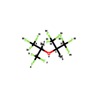 [2H]C(OC([2H])(C(F)(F)F)C(F)(F)F)(C(F)(F)F)C(F)(F)F